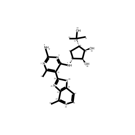 Cc1nc(N)nc(N[C@@H]2C[C@H](C(C)(C)O)[C@@H](O)[C@H]2O)c1-c1nc2c(C)nccc2s1